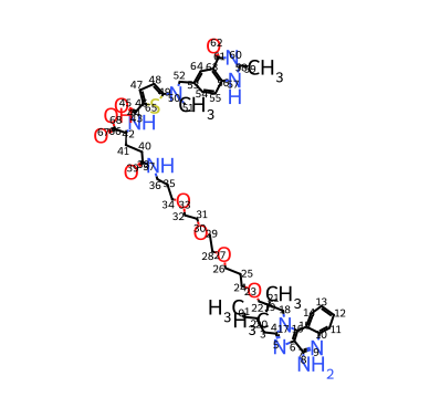 CCCCc1nc2c(N)nc3ccccc3c2n1CC(C)(C)COCCCOCCOCCOCCCNC(=O)CC[C@H](NC(=O)c1ccc(N(C)Cc2ccc3[nH]c(C)nc(=O)c3c2)s1)C(=O)O